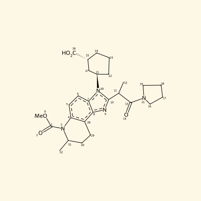 COC(=O)N1c2ccc3c(nc(C(C)C(=O)N4CCCC4)n3[C@@H]3CCC[C@@H](C(=O)O)C3)c2CCC1C